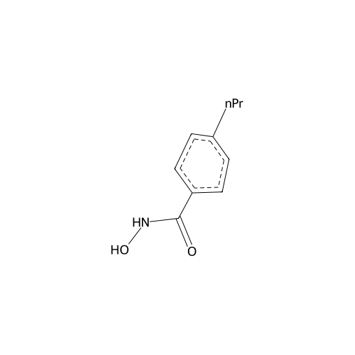 CCCc1ccc(C(=O)NO)cc1